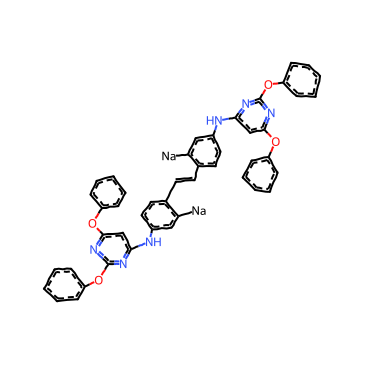 [Na][c]1cc(Nc2cc(Oc3ccccc3)nc(Oc3ccccc3)n2)ccc1C=Cc1ccc(Nc2cc(Oc3ccccc3)nc(Oc3ccccc3)n2)c[c]1[Na]